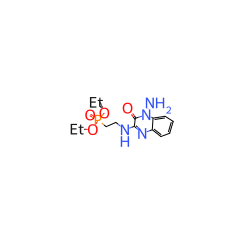 CCOP(=O)(CCNc1nc2ccccc2n(N)c1=O)OCC